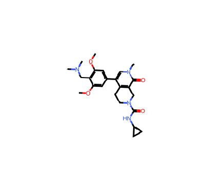 COc1cc(-c2cn(C)c(=O)c3c2CCN(C(=O)NC2CC2)C3)cc(OC)c1CN(C)C